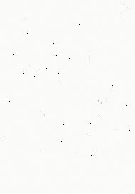 Cc1c[c]nc2cccnc12